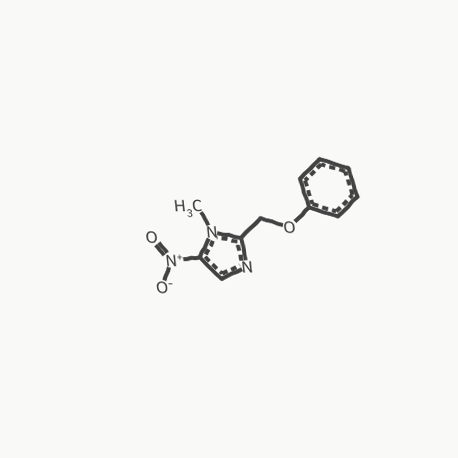 Cn1c([N+](=O)[O-])cnc1COc1ccccc1